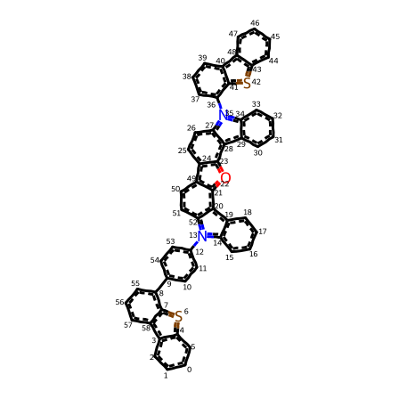 c1ccc2c(c1)sc1c(-c3ccc(-n4c5ccccc5c5c6oc7c(ccc8c7c7ccccc7n8-c7cccc8c7sc7ccccc78)c6ccc54)cc3)cccc12